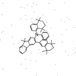 CC1(C)CCC(C)(C)c2cc(-c3cc4c(cc3N(c3ccccc3)c3cccc5c3C(C)(C)CCC5(C)C)C(C)(C)c3ccccc3-4)ccc21